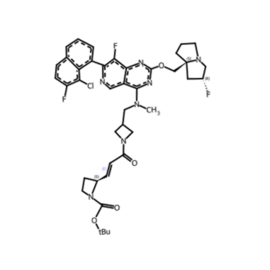 CN(CC1CN(C(=O)/C=C/[C@@H]2CCN2C(=O)OC(C)(C)C)C1)c1nc(OC[C@@]23CCCN2C[C@H](F)C3)nc2c(F)c(-c3cccc4ccc(F)c(Cl)c34)ncc12